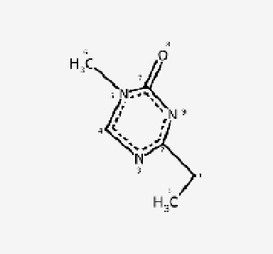 CCc1ncn(C)c(=O)n1